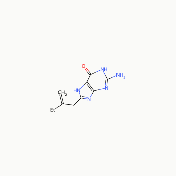 C=C(CC)Cc1nc2nc(N)[nH]c(=O)c2[nH]1